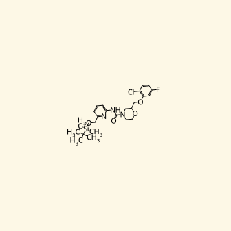 CC(C)(C)[Si](C)(C)OCc1cccc(NC(=O)N2CCOC(COc3cc(F)ccc3Cl)C2)n1